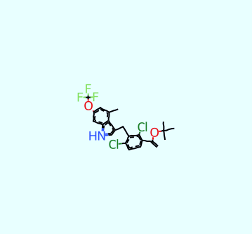 C=C(OC(C)(C)C)c1ccc(Cl)c(Cc2c[nH]c3cc(OC(F)(F)F)cc(C)c23)c1Cl